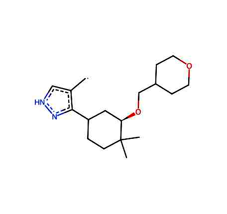 [CH2]c1c[nH]nc1C1CCC(C)(C)[C@H](OCC2CCOCC2)C1